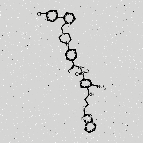 O=C(NS(=O)(=O)c1ccc(NCCSc2nc3ccccc3s2)c([N+](=O)[O-])c1)c1ccc(N2CCN(Cc3ccccc3-c3ccc(Cl)cc3)CC2)cc1